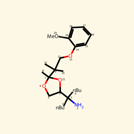 CCCCC(N)(CCCC)C1COC(C)(C(C)(C)COc2ccccc2OC)O1